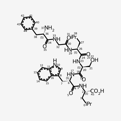 CC(C)C[C@H](NC(=O)[C@H](Cc1c[nH]c2ccccc12)NC(=O)[C@H](CO)NC(=O)[C@H](CC(C)C)NC(=O)CNC(=O)[C@@H](N)Cc1ccccc1)C(=O)O